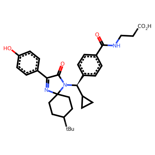 CC(C)(C)C1CCC2(CC1)N=C(c1ccc(O)cc1)C(=O)N2[C@@H](c1ccc(C(=O)NCCC(=O)O)cc1)C1CC1